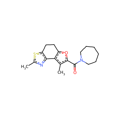 Cc1nc2c(s1)CCc1oc(C(=O)N3CCCCCC3)c(C)c1-2